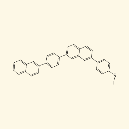 ISc1ccc(-c2ccc3ccc(-c4ccc(-c5ccc6ccccc6c5)cc4)cc3c2)cc1